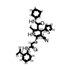 CC1=C(C(=O)Nc2ccccc2)C(c2cccs2)C(C#N)=C(SCC(=O)Nc2ccccc2C(C)C)N1